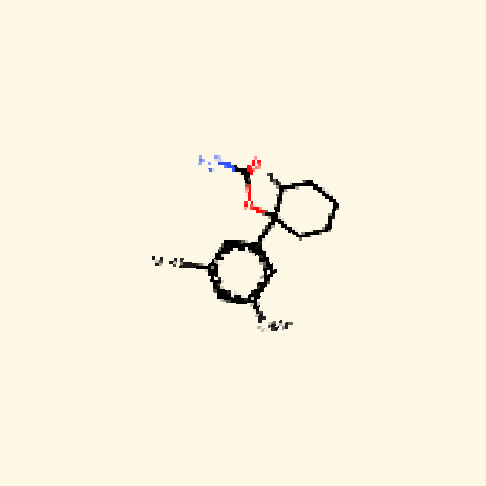 COc1cc(OC)cc(C2(OC(N)=O)CCCCC2C(C)C)c1